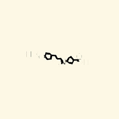 COc1ccc(C=CC=[N+]([O-])c2ccc(C(=O)O)cc2)cc1